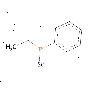 CC[P]([Sc])c1ccccc1